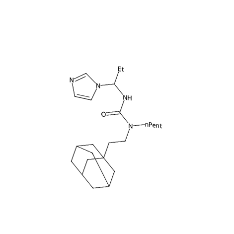 CCCCCN(CCC12CC3CC(CC(C3)C1)C2)C(=O)NC(CC)n1ccnc1